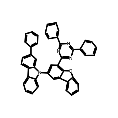 c1ccc(-c2ccc3c4ccccc4n(-c4cc(-c5nc(-c6ccccc6)nc(-c6ccccc6)n5)c5oc6ccccc6c5c4)c3c2)cc1